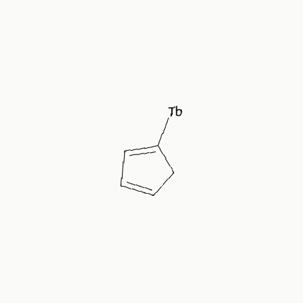 [Tb][C]1=CC=CC1